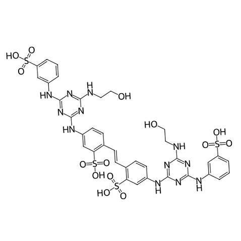 O=S(=O)(O)c1cccc(Nc2nc(NCCO)nc(Nc3ccc(C=Cc4ccc(Nc5nc(NCCO)nc(Nc6cccc(S(=O)(=O)O)c6)n5)cc4S(=O)(=O)O)c(S(=O)(=O)O)c3)n2)c1